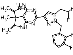 C=C(N)C1(C)C(=C)Nc2nc(-c3cc(CC(F)F)n(Cc4cccc(F)c4F)n3)nc(N)c21